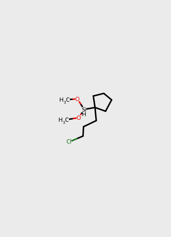 CO[SiH](OC)C1(CCCCl)CCCC1